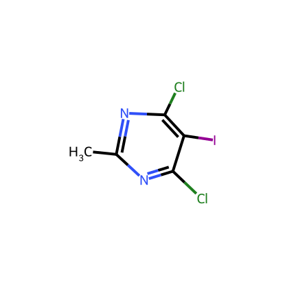 Cc1nc(Cl)c(I)c(Cl)n1